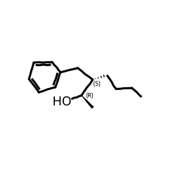 CCCC[C@@H](Cc1ccccc1)[C@@H](C)O